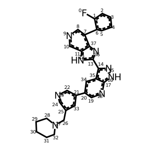 Fc1ccccc1-c1cncc2[nH]c(-c3n[nH]c4ncc(-c5cncc(CN6CCCCC6)c5)cc34)nc12